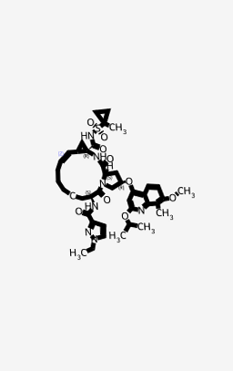 CCn1ccc(C(=O)N[C@H]2CCCCC/C=C\C3C[C@@]3(C(=O)NS(=O)(=O)C3(C)CC3)NC(=O)[C@@H]3C[C@@H](Oc4cc(OC(C)C)nc5c(C)c(OC)ccc45)CN3C2=O)n1